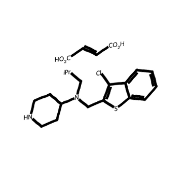 CC(C)CN(Cc1sc2ccccc2c1Cl)C1CCNCC1.O=C(O)C=CC(=O)O